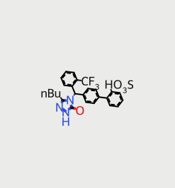 CCCCc1n[nH]c(=O)n1C(c1ccc(-c2ccccc2S(=O)(=O)O)cc1)c1ccccc1C(F)(F)F